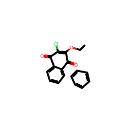 CCOC1=C(Cl)C(=O)c2ccccc2C1=O.c1ccccc1